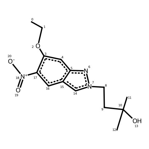 CCOc1cc2nn(CCC(C)(C)O)cc2cc1[N+](=O)[O-]